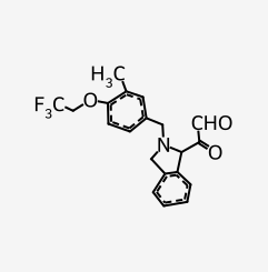 Cc1cc(CN2Cc3ccccc3C2C(=O)C=O)ccc1OCC(F)(F)F